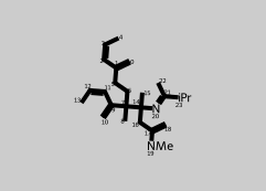 C=C(/C=C\C)CCC(C)(C(=C)/C=C\C)C(C)(CC(=C)NC)N=C(C)C(C)C